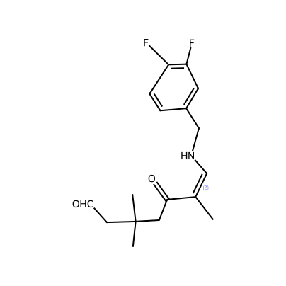 C/C(=C/NCc1ccc(F)c(F)c1)C(=O)CC(C)(C)CC=O